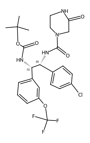 CC(C)(C)OC(=O)N[C@@H](c1cccc(OC(F)(F)F)c1)[C@H](NC(=O)N1CCNC(=O)C1)c1ccc(Cl)cc1